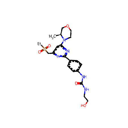 CCS(=O)(=O)Cc1cc(N2CCOC[C@@H]2C)nc(-c2ccc(NC(=O)NCCO)cc2)n1